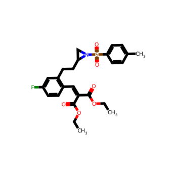 CCOC(=O)C(=Cc1ccc(F)cc1CCC1CN1S(=O)(=O)c1ccc(C)cc1)C(=O)OCC